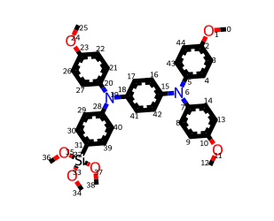 COc1ccc(N(c2ccc(OC)cc2)c2ccc(N(c3ccc(OC)cc3)c3ccc([Si](OC)(OC)OC)cc3)cc2)cc1